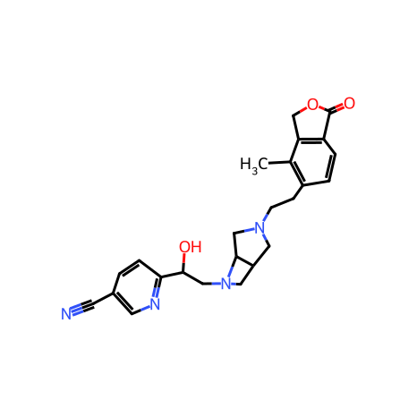 Cc1c(CCN2CC3CN(CC(O)c4ccc(C#N)cn4)C3C2)ccc2c1COC2=O